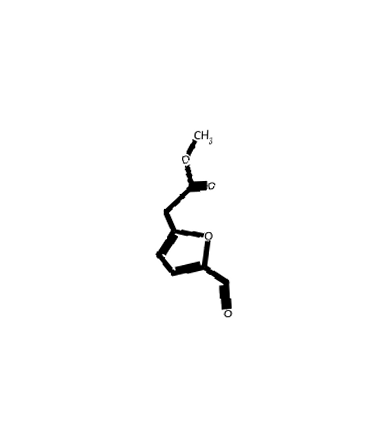 COC(=O)Cc1ccc(C=O)o1